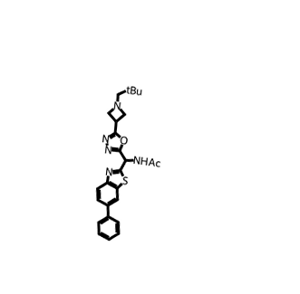 CC(=O)NC(c1nnc(C2CN(CC(C)(C)C)C2)o1)c1nc2ccc(-c3ccccc3)cc2s1